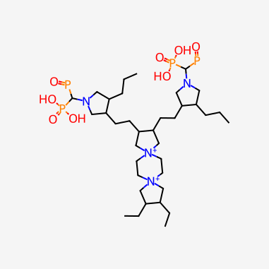 CCCC1CN(C(P=O)P(=O)(O)O)CC1CCC1C[N+]2(CC[N+]3(CC2)CC(CC)C(CC)C3)CC1CCC1CN(C(P=O)P(=O)(O)O)CC1CCC